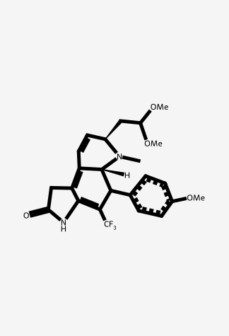 COc1ccc(C2C(C(F)(F)F)=C3NC(=O)CC3=C3C=C[C@@H](CC(OC)OC)N(C)[C@@H]32)cc1